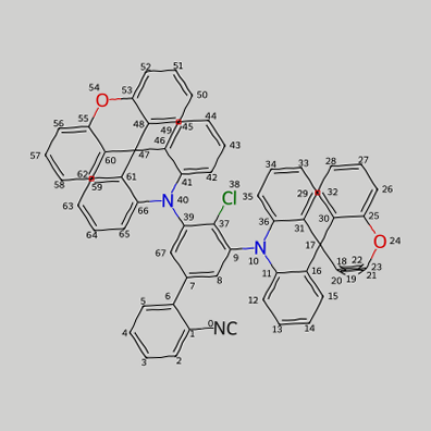 [C-]#[N+]c1ccccc1-c1cc(N2c3ccccc3C3(c4ccccc4Oc4ccccc43)c3ccccc32)c(Cl)c(N2c3ccccc3C3(c4ccccc4Oc4ccccc43)c3ccccc32)c1